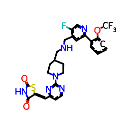 O=C1NC(=O)C(=Cc2ccnc(N3CCC(CNCc4cc(-c5ccccc5OC(F)(F)F)ncc4F)CC3)n2)S1